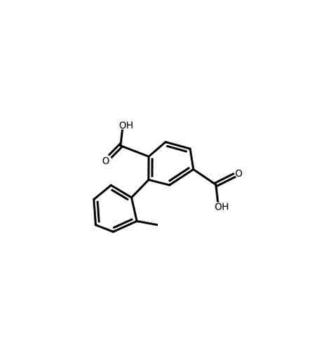 Cc1ccccc1-c1cc(C(=O)O)ccc1C(=O)O